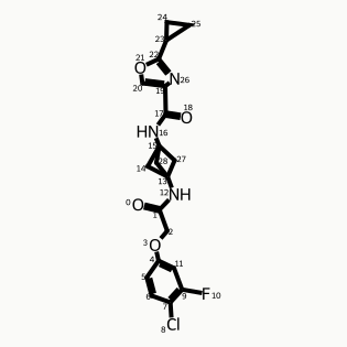 O=C(COc1ccc(Cl)c(F)c1)NC12CC(NC(=O)c3coc(C4CC4)n3)(C1)C2